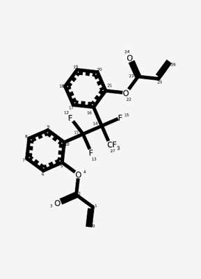 C=CC(=O)Oc1ccccc1C(F)(F)C(F)(c1ccccc1OC(=O)C=C)C(F)(F)F